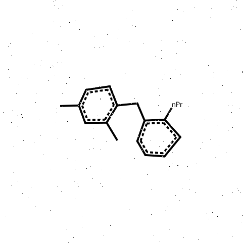 CCCc1ccccc1Cc1ccc(C)cc1C